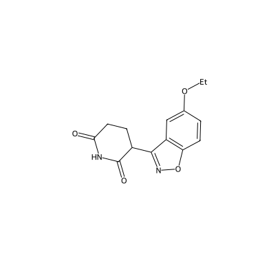 CCOc1ccc2onc(C3CCC(=O)NC3=O)c2c1